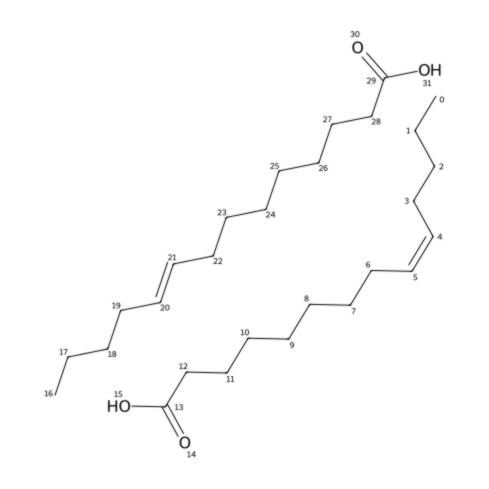 CCCC/C=C\CCCCCCCC(=O)O.CCCCC=CCCCCCCCC(=O)O